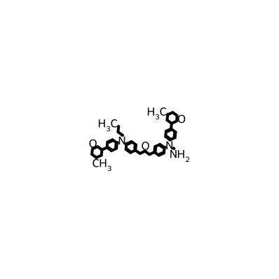 CCCCN(c1ccc(CC(=O)Cc2ccc(N(CN)c3ccc(C4CC(C)CC5OC54)cc3)cc2)cc1)c1ccc(C2CC(C)CC3OC32)cc1